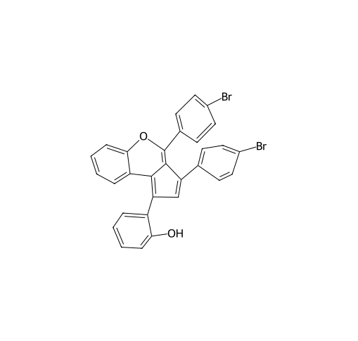 Oc1ccccc1-c1cc(-c2ccc(Br)cc2)c2c(-c3ccc(Br)cc3)oc3ccccc3c1-2